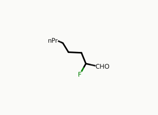 CCCCCCC(F)C=O